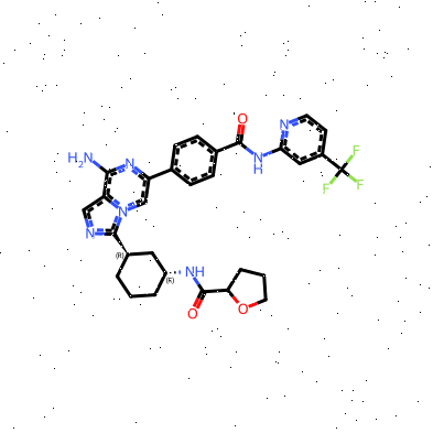 Nc1nc(-c2ccc(C(=O)Nc3cc(C(F)(F)F)ccn3)cc2)cn2c([C@@H]3CCC[C@@H](NC(=O)C4CCCO4)C3)ncc12